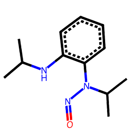 CC(C)Nc1ccccc1N(N=O)C(C)C